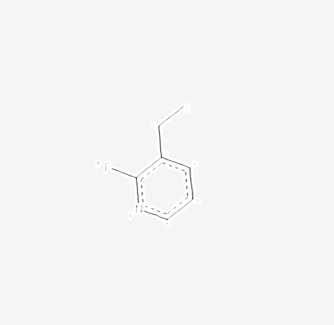 [CH2]Cc1cccnc1F